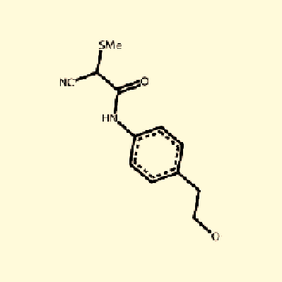 CSC(C#N)C(=O)Nc1ccc(CC[O])cc1